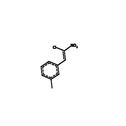 Cc1cccc(/C=C(\Cl)[N+](=O)[O-])c1